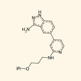 CC(C)OCCCNc1cc(-c2ccc3[nH]nc(N)c3c2)ccn1